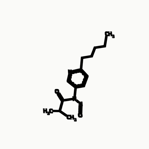 CCCCCc1ccc(N(N=O)C(=O)C(C)C)cn1